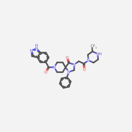 O=C(CN1CN(c2ccccc2)C2(CCN(C(=O)c3ccc4[nH]ncc4c3)CC2)C1=O)N1CCNC(C(F)(F)F)C1